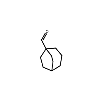 O=[C]C12CCCC(CC1)CC2